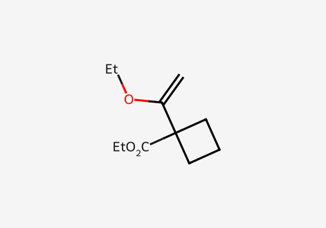 C=C(OCC)C1(C(=O)OCC)CCC1